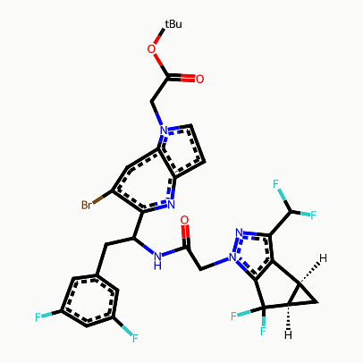 CC(C)(C)OC(=O)Cn1ccc2nc(C(Cc3cc(F)cc(F)c3)NC(=O)Cn3nc(C(F)F)c4c3C(F)(F)[C@@H]3C[C@H]43)c(Br)cc21